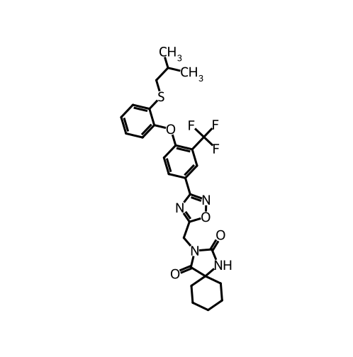 CC(C)CSc1ccccc1Oc1ccc(-c2noc(CN3C(=O)NC4(CCCCC4)C3=O)n2)cc1C(F)(F)F